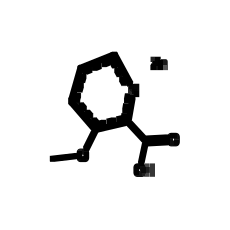 COc1cccnc1C(=O)O.[Zn]